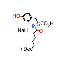 CCCCCCCCCCCCCCC(=O)N[C@@H](Cc1ccc(O)cc1)C(=O)O.[NaH]